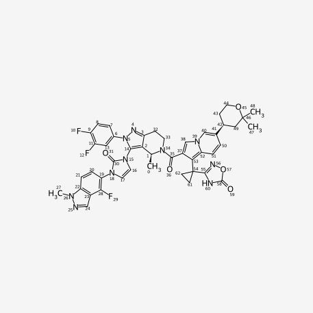 C[C@H]1c2c(nn(-c3ccc(F)c(F)c3)c2-n2ccn(-c3ccc4c(cnn4C)c3F)c2=O)CCN1C(=O)c1cn2cc([C@H]3CCOC(C)(C)C3)ccc2c1C1(c2noc(=O)[nH]2)CC1